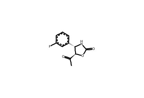 CC(=O)[C@@H]1OC(=O)N[C@H]1c1cccc(F)c1